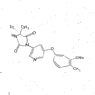 CC[C@@]1(C)NC(=O)N(c2cncc(Oc3ccc(C)c(OC)c3)c2)C1=O